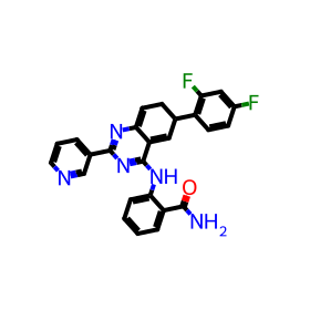 NC(=O)c1ccccc1Nc1nc(-c2cccnc2)nc2c1=CC(c1ccc(F)cc1F)CC=2